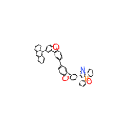 O=P(c1ccccc1)(c1ccccc1)c1cncc(-c2ccc3oc4ccc(-c5ccc6oc7ccc(-c8c9ccccc9cc9ccccc89)cc7c6c5)cc4c3c2)c1